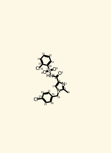 Cc1nc(C(=O)NS(=O)(=O)c2ccccc2Cl)cn1Cc1ccc(Cl)cc1